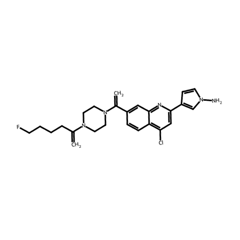 C=C(CCCCF)N1CCN(C(=C)c2ccc3c(Cl)cc(-c4ccn(N)c4)nc3c2)CC1